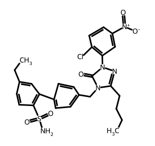 CCCCc1nn(-c2cc([N+](=O)[O-])ccc2Cl)c(=O)n1Cc1ccc(-c2cc(CC)ccc2S(N)(=O)=O)cc1